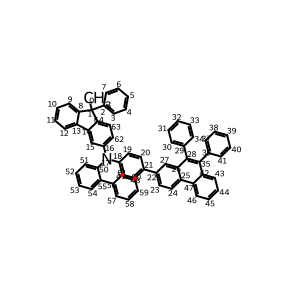 CC1(c2ccccc2)c2ccccc2-c2cc(N(c3ccc(-c4ccc5c(c4)c(-c4ccccc4)c(-c4ccccc4)c4ccccc45)cc3)c3ccccc3-c3ccccc3)ccc21